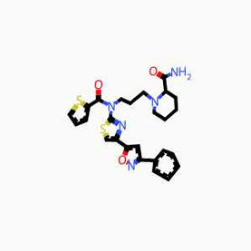 NC(=O)C1CCCCN1CCCN(C(=O)c1cccs1)c1nc(-c2cc(-c3ccccc3)no2)cs1